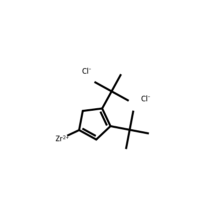 CC(C)(C)C1=C(C(C)(C)C)C[C]([Zr+2])=C1.[Cl-].[Cl-]